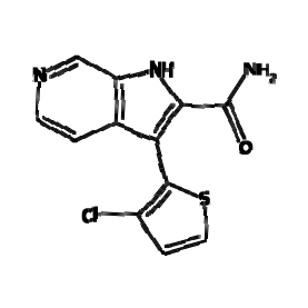 NC(=O)c1[nH]c2cnccc2c1-c1sccc1Cl